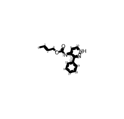 CC=CCOC(=O)N=c1cc[nH]nc1-c1ccccc1